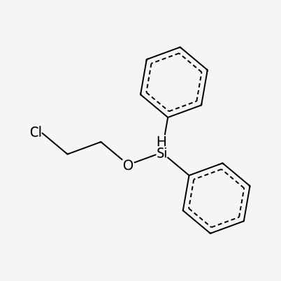 ClCCO[SiH](c1ccccc1)c1ccccc1